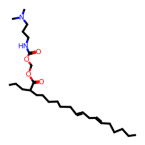 CCCCCC=CCC=CCCCCCCC(CCC)C(=O)OCOC(=O)NCCCN(C)C